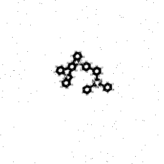 c1ccc(-c2nc(-c3ccccc3)nc(-c3cccc(-c4ccc(-n5c6ccccc6c6cc7c8ccccc8n8c9ccccc9cc8c7cc65)cc4)c3)n2)cc1